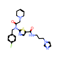 O=C(NCCCn1ccnc1)c1cnc(N(Cc2ccc(F)cc2)C(=O)CN2CC=CCC2)s1